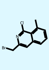 Cc1cccc2cc(CBr)nc(Cl)c12